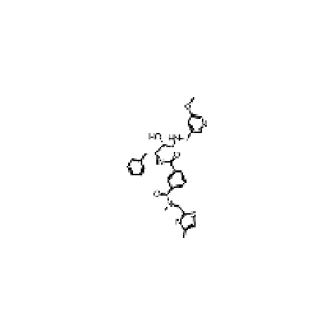 COc1cncc(CNC[C@@H](O)[C@H](Cc2ccccc2)NC(=O)c2cccc(C(=O)N(C)Cc3nc(C)cs3)c2)c1